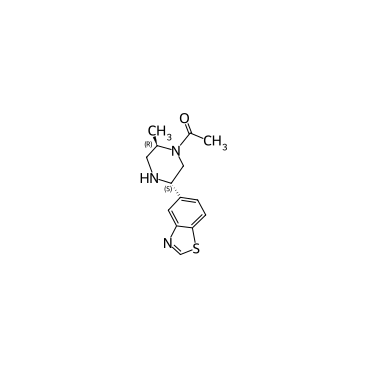 CC(=O)N1C[C@H](c2ccc3scnc3c2)NC[C@H]1C